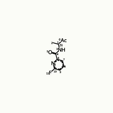 CC(=O)[C@H](C)NC(=O)c1cccc(F)n1